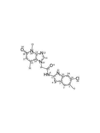 Cc1cc2sc(NC(=O)Cn3cnc4c3c(C)cc(=O)n4C)nc2cc1Cl